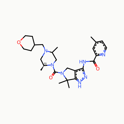 Cc1ccnc(C(=O)Nc2n[nH]c3c2CN(C(=O)N2CC(C)N(CC4CCOCC4)C[C@@H]2C)C3(C)C)c1